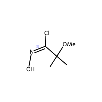 COC(C)(C)/C(Cl)=N\O